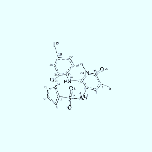 Cc1cc(NS(=O)(=O)c2cccs2)c(Nc2ccc(I)cc2Cl)n(C)c1=O